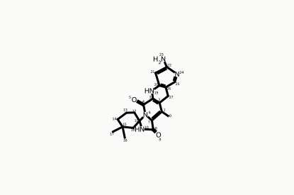 Cc1c2c(c(=O)n3c1C(=O)NC31CCCC(C)(C)C1)Nc1cc(N)ncc1C2